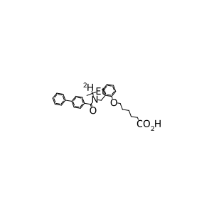 [2H]C(C)(CC)N(Cc1ccccc1OCCCCCC(=O)O)C(=O)c1ccc(-c2ccccc2)cc1